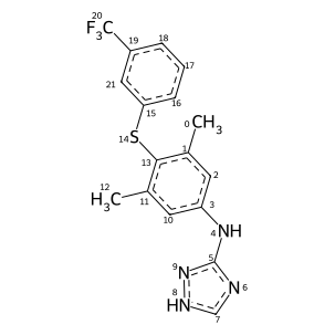 Cc1cc(Nc2nc[nH]n2)cc(C)c1Sc1cccc(C(F)(F)F)c1